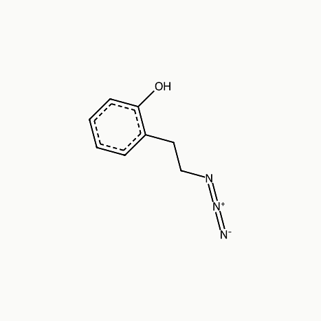 [N-]=[N+]=NCCc1ccccc1O